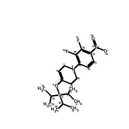 CC(C)[Si](OC1=CCN(c2ccc([N+](=O)[O-])c(F)c2F)CC1)(C(C)C)C(C)C